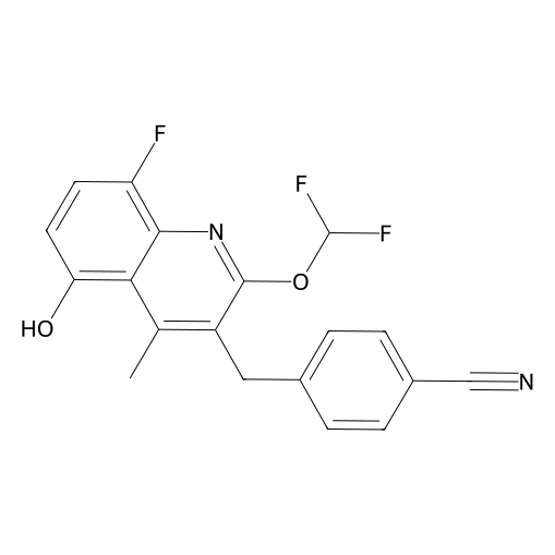 Cc1c(Cc2ccc(C#N)cc2)c(OC(F)F)nc2c(F)ccc(O)c12